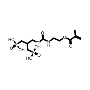 C=C(C)C(=O)OCCNC(=O)OCC(CP(=O)(O)O)CP(=O)(O)O